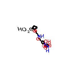 O=C(CCc1ccc(N2CC(=O)NS2(=O)=O)c(O)c1)NCCCCOc1ccccc1C(=O)O